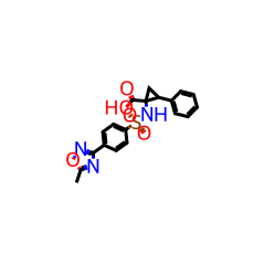 Cc1nc(-c2ccc(S(=O)(=O)NC3(C(=O)O)CC3c3ccccc3)cc2)no1